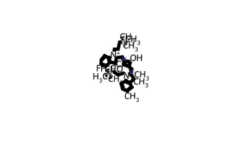 Cc1ccc2c(c1)C(C)(C)/C(=C/C1=C(O)C(=C/C3=[N+](CCC[N+](C)(C)C)c4ccc(F)cc4C3(C)C)/C1=O)N2CCC[N+](C)(C)C